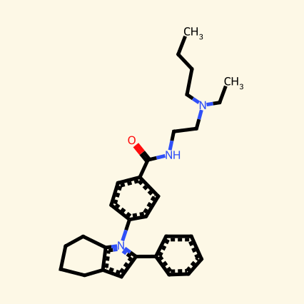 CCCCN(CC)CCNC(=O)c1ccc(-n2c(-c3ccccc3)cc3c2CCCC3)cc1